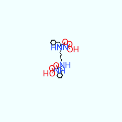 O=C(O)NC(=O)C(Cc1ccccc1)NCCC=CCCN[C@@H](Cc1ccccc1)C(=O)NC(=O)O